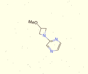 COC1CN(c2cnccn2)C1